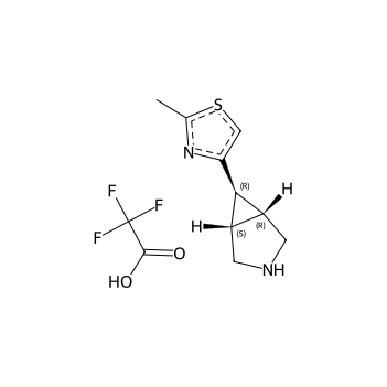 Cc1nc([C@H]2[C@@H]3CNC[C@@H]32)cs1.O=C(O)C(F)(F)F